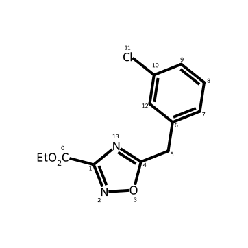 CCOC(=O)c1noc(Cc2cccc(Cl)c2)n1